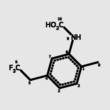 Cc1ccc(CC(F)(F)F)cc1NC(=O)O